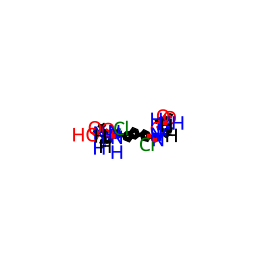 COC(=O)N[C@H](C(=O)N1[C@@H]2C[C@H]2C[C@H]1c1nc(Cl)c(-c2ccc(-c3ccc4cc(-c5[nH]c([C@@H]6C[C@H]7C[C@H]7N6C(=O)[C@@H](NC(=O)O)C(C)C)nc5Cl)ccc4c3)cc2)[nH]1)C(C)C